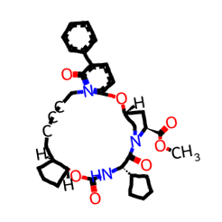 COC(=O)[C@@H]1C[C@@H]2CN1C(=O)[C@H](C1CCCC1)NC(=O)O[C@@H]1CCC[C@H]1CCCCCn1c(ccc(-c3ccccc3)c1=O)O2